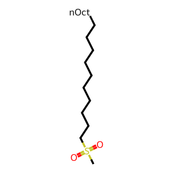 CCCCCCCCCCCCCCCCCCS(C)(=O)=O